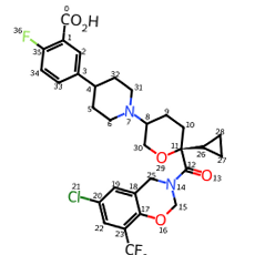 O=C(O)c1cc(C2CCN(C3CC[C@@](C(=O)N4COc5c(cc(Cl)cc5C(F)(F)F)C4)(C4CC4)OC3)CC2)ccc1F